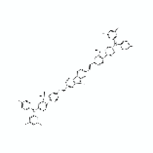 Cc1ccc(N(c2cc(C)cc(C)c2)c2ccc3c(c2)C(C)(C)c2cc(/C=C/c4ccc5c(c4)C(C)(C)c4cc(/C=C/c6ccc7c(c6)C(C)(C)c6cc(N(c8ccc(C)cc8)c8cc(C)cc(C)c8)ccc6-7)ccc4-5)ccc2-3)cc1